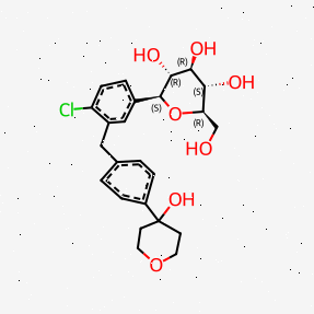 OC[C@H]1O[C@@H](c2ccc(Cl)c(Cc3ccc(C4(O)CCOCC4)cc3)c2)[C@H](O)[C@@H](O)[C@@H]1O